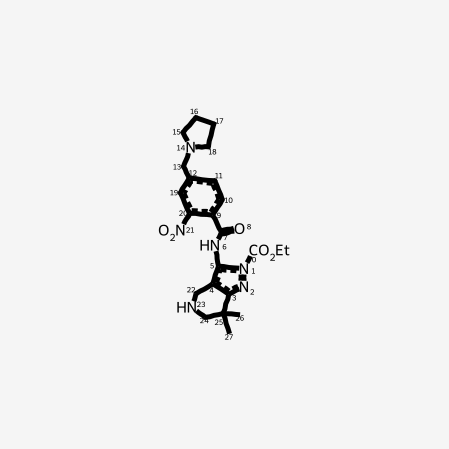 CCOC(=O)n1nc2c(c1NC(=O)c1ccc(CN3CCCC3)cc1[N+](=O)[O-])CNCC2(C)C